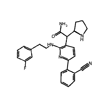 N#Cc1ccccc1-c1ccc(C(C(N)=O)C2CCCN2)c(NCCc2cccc(F)c2)n1